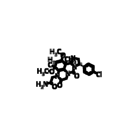 COC1=CC(C)(OC)C2=C3N(CC(=O)N2CC(N)=O)C(=O)N2C(=NC[C@@H]2c2ccc(Cl)cc2)C13C